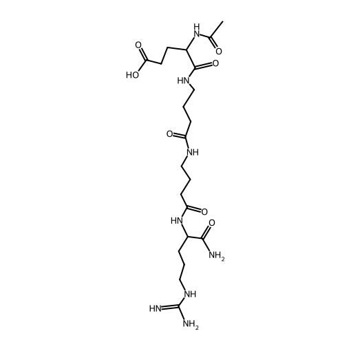 CC(=O)NC(CCC(=O)O)C(=O)NCCCC(=O)NCCCC(=O)NC(CCCNC(=N)N)C(N)=O